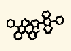 c1ccc(-c2c3ccccc3c(-c3cccc4c3sc3cccc(-c5c6ccccc6c(C6CCCCC6)c6ccccc56)c34)c3ccccc23)cc1